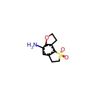 Nc1cc2c(c3c1OCC3)S(=O)(=O)CC2